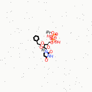 CC(C)OP(=O)(O)OP(=O)(O)OC[C@H]1O[C@@H](n2ccc(=O)[nH]c2=O)[C@H]2OC(Cc3ccccc3)OC12